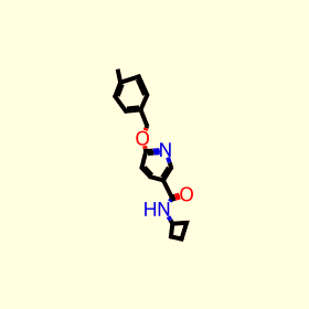 Cc1ccc(COc2ccc(C(=O)NC3CCC3)cn2)cc1